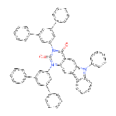 O=c1c2cc3c(cc2n(-c2cc(-c4ccccc4)cc(-c4ccccc4)c2)c(=O)n1-c1cc(-c2ccccc2)cc(-c2ccccc2)c1)c1ccccc1n3-c1ccccc1